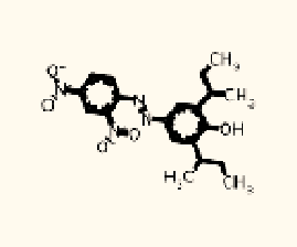 CCC(C)c1cc(/N=N/c2ccc([N+](=O)[O-])cc2[N+](=O)[O-])cc(C(C)CC)c1O